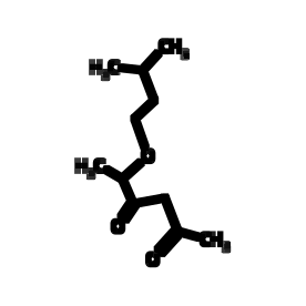 CC(=O)CC(=O)C(C)OCCC(C)C